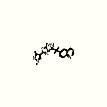 Cc1nn(C)cc1-c1nn2c(C(C)(C)c3ccc4ncccc4c3)nnc2s1